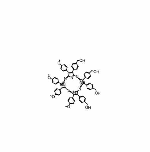 COc1ccc(C2=C(c3ccc(CO)cc3)c3nc2nc2[nH]c(nc4nc(nc5[nH]c(n3)c(-c3ccc(CO)cc3)c5-c3ccc(CO)cc3)C(c3ccc(CO)cc3)=C4c3ccc(OC)cc3)c(-c3ccc(OC)cc3)c2-c2ccc(OC)cc2)cc1